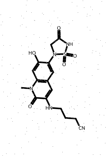 Cn1c(=O)c(NCCCC#N)cc2cc(N3CC(=O)NS3(=O)=O)c(O)cc21